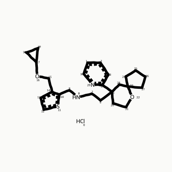 Cl.c1ccc(C2(CCNCc3sccc3COC3CC3)CCOC3(CCCC3)C2)nc1